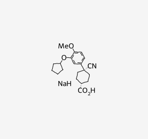 COc1ccc([C@]2(C#N)CC[C@@H](C(=O)O)CC2)cc1OC1CCCC1.[NaH]